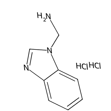 Cl.Cl.NCn1cnc2ccccc21